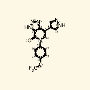 O=c1c2[nH]nnc2c(-c2cn[nH]c2)cn1-c1ccc(OC(F)(F)F)cc1